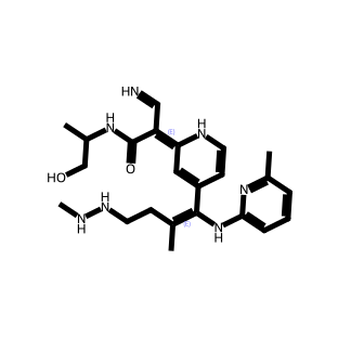 CNNCC/C(C)=C(/Nc1cccc(C)n1)C1=C/C(=C(/C=N)C(=O)NC(C)CO)NC=C1